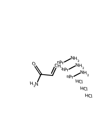 C=CC(N)=O.CCCN.CCCN.CCCN.Cl.Cl.Cl